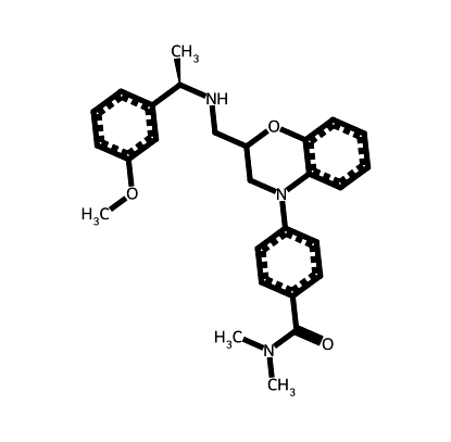 COc1cccc([C@@H](C)NCC2CN(c3ccc(C(=O)N(C)C)cc3)c3ccccc3O2)c1